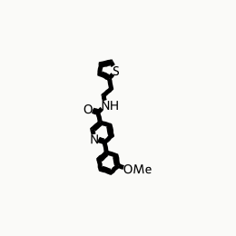 COc1cccc(-c2ccc(C(=O)NCCc3cccs3)cn2)c1